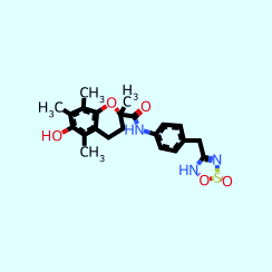 Cc1c(C)c2c(c(C)c1O)CCC(C)(C(=O)Nc1ccc(CC3=NS(=O)ON3)cc1)O2